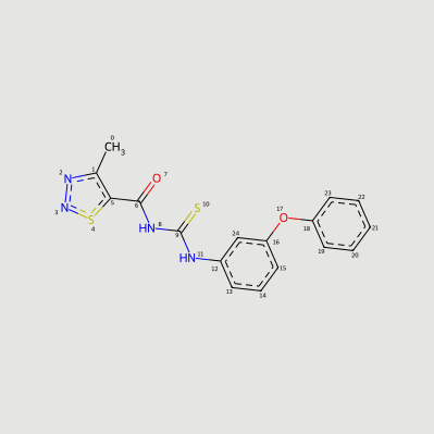 Cc1nnsc1C(=O)NC(=S)Nc1cccc(Oc2ccccc2)c1